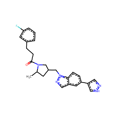 CC1CC(Cn2ncc3cc(-c4cn[nH]c4)ccc32)CN1C(=O)CCc1cccc(F)c1